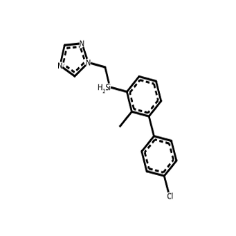 Cc1c([SiH2]Cn2cncn2)cccc1-c1ccc(Cl)cc1